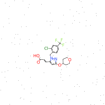 O=C(O)C=Cc1cc(OC2CCOCC2)nn1Cc1ccc(C(F)(F)F)cc1Cl